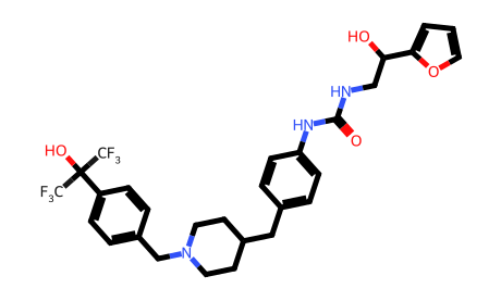 O=C(NCC(O)c1ccco1)Nc1ccc(CC2CCN(Cc3ccc(C(O)(C(F)(F)F)C(F)(F)F)cc3)CC2)cc1